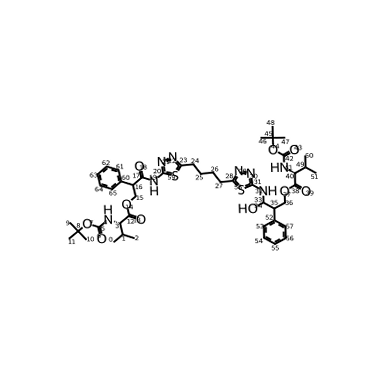 CC(C)[C@H](NC(=O)OC(C)(C)C)C(=O)OCC(C(=O)Nc1nnc(CCCCc2nnc(NC(O)C(COC(=O)[C@@H](NC(=O)OC(C)(C)C)C(C)C)c3ccccc3)s2)s1)c1ccccc1